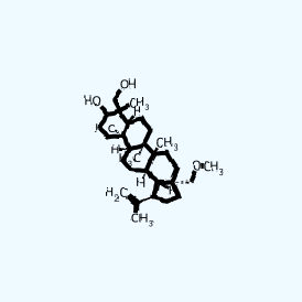 C=C(C)[C@@H]1CC[C@]2(COC)CC[C@]3(C)[C@H](CC[C@@H]4[C@@]5(C)CCC(O)C(C)(CO)[C@@H]5CC[C@]43C)[C@@H]12